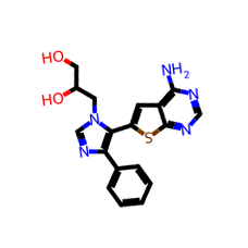 Nc1ncnc2sc(-c3c(-c4ccccc4)ncn3CC(O)CO)cc12